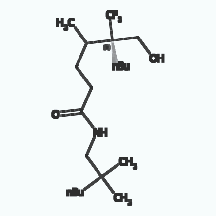 CCCCC(C)(C)CNC(=O)CCC(C)[C@@](CO)(CCCC)C(F)(F)F